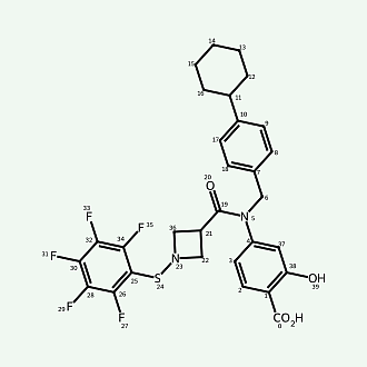 O=C(O)c1ccc(N(Cc2ccc(C3CCCCC3)cc2)C(=O)C2CN(Sc3c(F)c(F)c(F)c(F)c3F)C2)cc1O